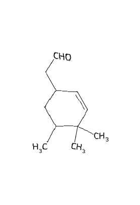 CC1CC(CC=O)C=CC1(C)C